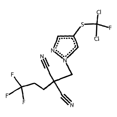 N#CC(C#N)(CCC(F)(F)F)Cn1cc(SC(F)(Cl)Cl)cn1